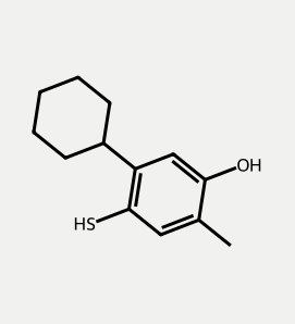 Cc1cc(S)c(C2CCCCC2)cc1O